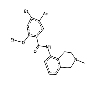 CCOc1cc(CC)c(C(C)=O)cc1C(=O)Nc1cccc2c1CCN(C)C2